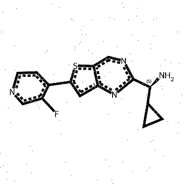 N[C@H](c1ncc2sc(-c3ccncc3F)cc2n1)C1CC1